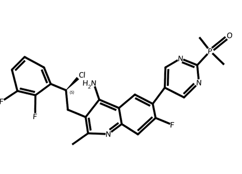 Cc1nc2cc(F)c(-c3cnc(P(C)(C)=O)nc3)cc2c(N)c1C[C@H](Cl)c1cccc(F)c1F